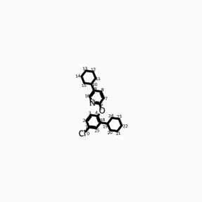 Clc1ccc(Oc2ccc(C3CCCCC3)cn2)c(C2CCCCC2)c1